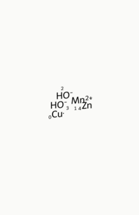 [Cu].[Mn+2].[OH-].[OH-].[Zn]